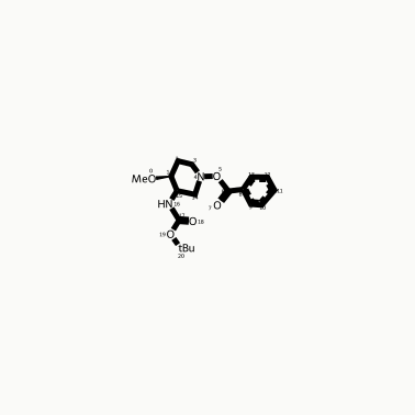 CO[C@H]1CCN(OC(=O)c2ccccc2)CC1NC(=O)OC(C)(C)C